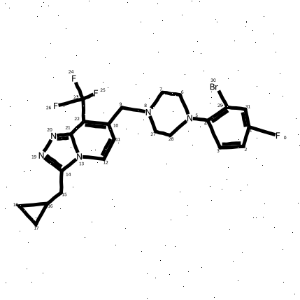 Fc1ccc(N2CCN(Cc3ccn4c(CC5CC5)nnc4c3C(F)(F)F)CC2)c(Br)c1